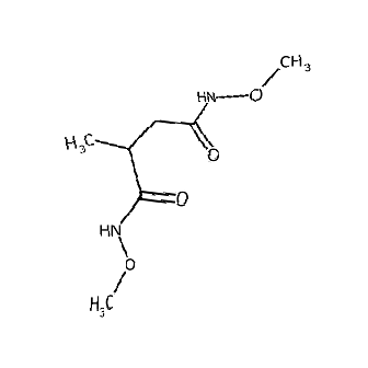 CONC(=O)CC(C)C(=O)NOC